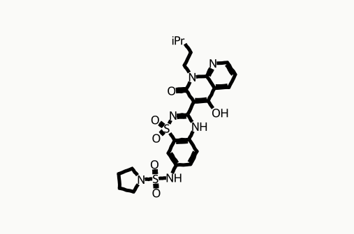 CC(C)CCn1c(=O)c(C2=NS(=O)(=O)c3cc(NS(=O)(=O)N4CCCC4)ccc3N2)c(O)c2cccnc21